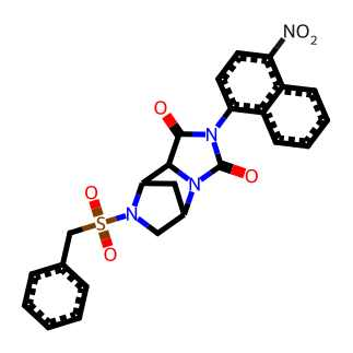 O=C1C2C3CC(CN3S(=O)(=O)Cc3ccccc3)N2C(=O)N1c1ccc([N+](=O)[O-])c2ccccc12